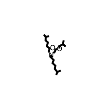 CC(C)CCCCCN(CCCCCC(C)C)CC(=O)OCC(C)C